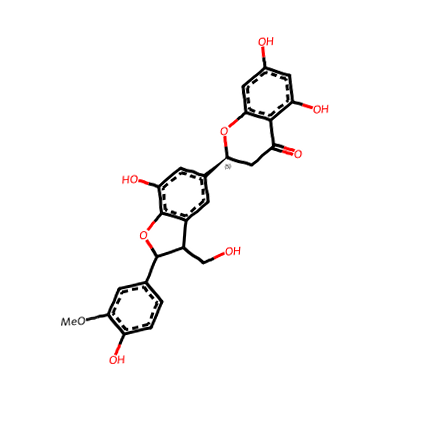 COc1cc(C2Oc3c(O)cc([C@@H]4CC(=O)c5c(O)cc(O)cc5O4)cc3C2CO)ccc1O